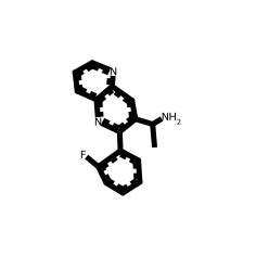 CC(N)c1cc2ncccc2nc1-c1ccccc1F